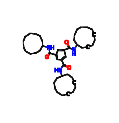 O=C(NC1CCCCCCCCCCC1)c1cc(C(=O)NC2CCCCCCCCCCC2)cc(C(=O)NC2CCCCCCCCCCC2)c1